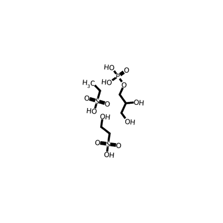 CCS(=O)(=O)O.O=P(O)(O)OCC(O)CO.O=S(=O)(O)CCO